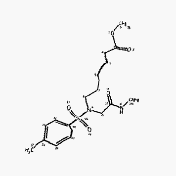 COC(=O)CCCCCN(CC(=O)NO)S(=O)(=O)c1ccc(C)cc1